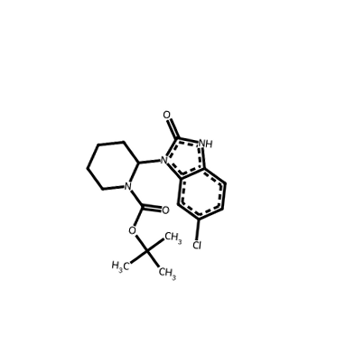 CC(C)(C)OC(=O)N1CCCCC1n1c(=O)[nH]c2ccc(Cl)cc21